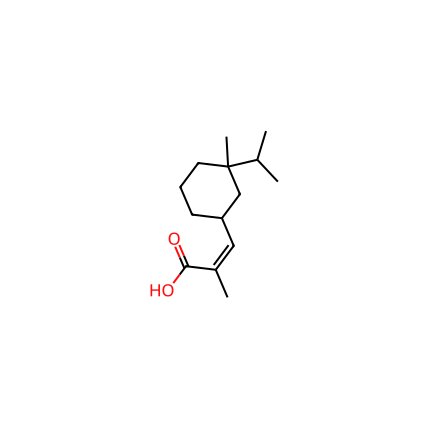 CC(=CC1CCCC(C)(C(C)C)C1)C(=O)O